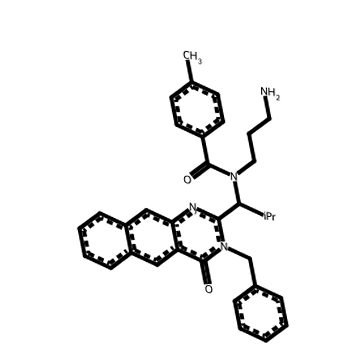 Cc1ccc(C(=O)N(CCCN)C(c2nc3cc4ccccc4cc3c(=O)n2Cc2ccccc2)C(C)C)cc1